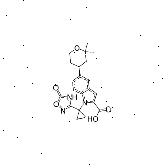 CC1(C)C[C@@H](c2ccc3c(c2)cc(C(=O)O)n3C2(c3noc(=O)[nH]3)CC2)CCO1